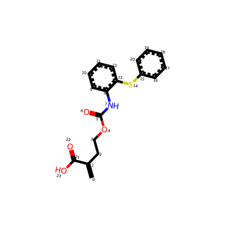 C=C(CCOC(=O)Nc1ccccc1Sc1ccccc1)C(=O)O